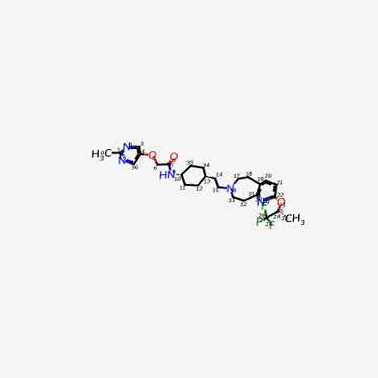 Cc1ncc(OCC(=O)N[C@H]2CC[C@H](CCN3CCc4ccc(O[C@H](C)C(F)(F)F)nc4CC3)CC2)cn1